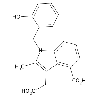 Cc1c(CC(=O)O)c2c(C(=O)O)cccc2n1Cc1ccccc1O